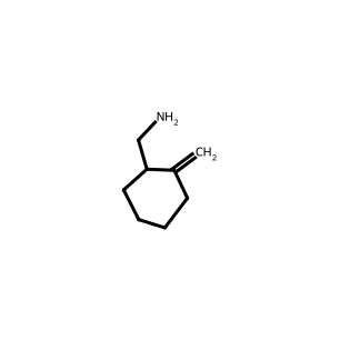 C=C1CCCCC1CN